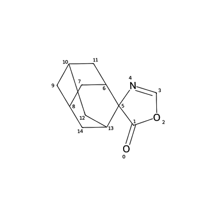 O=C1OC=NC12C1CC3CC(C1)CC2C3